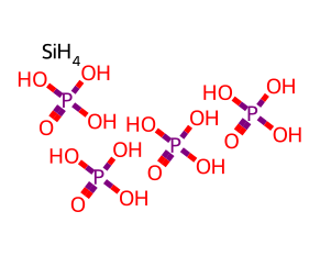 O=P(O)(O)O.O=P(O)(O)O.O=P(O)(O)O.O=P(O)(O)O.[SiH4]